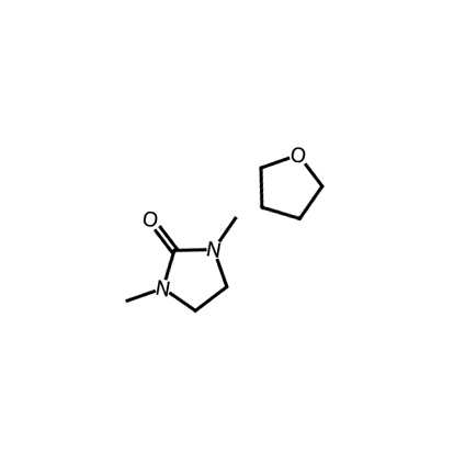 C1CCOC1.CN1CCN(C)C1=O